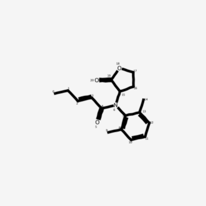 CCC=CC(=O)N(c1c(C)cccc1C)C1CCOC1=O